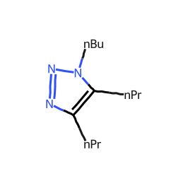 CCCCn1nnc(CCC)c1CCC